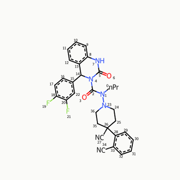 CCCN(C(=O)N1C(=O)Nc2ccccc2C1c1ccc(F)c(F)c1)N1CCC(C#N)(c2ccccc2C#N)CC1